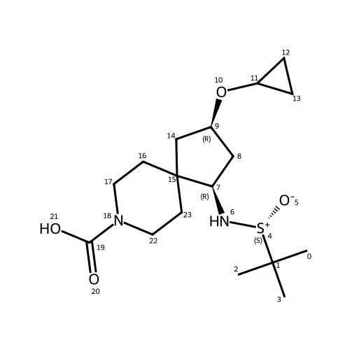 CC(C)(C)[S@@+]([O-])N[C@@H]1C[C@H](OC2CC2)CC12CCN(C(=O)O)CC2